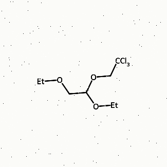 CCOC[C](OCC)OCC(Cl)(Cl)Cl